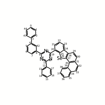 c1ccc(-c2cccc(-c3nc(-c4ccccc4)nc(-c4cccc5c4[se]c4c5ccc5ccc6ccccc6c54)n3)c2)cc1